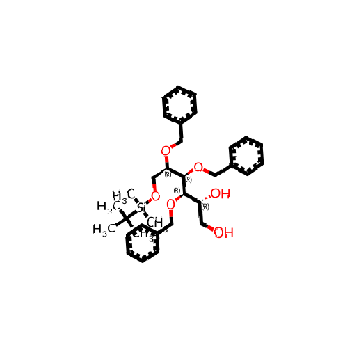 CC(C)(C)[Si](C)(C)OC[C@@H](OCc1ccccc1)[C@@H](OCc1ccccc1)[C@H](OCc1ccccc1)[C@H](O)CO